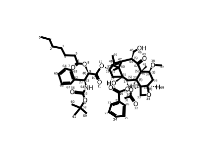 CCCCCCC(=O)O[C@@H](C(=O)O[C@H]1C[C@@]2(O)[C@@H](OC(=O)c3ccccc3)[C@@H]3[C@]4(OC(C)=O)CO[C@@H]4C[C@H](OC)[C@@]3(C)C(=O)[C@H](CO)C(=C1C)C2(C)C)[C@@H](NC(=O)OC(C)(C)C)c1ccccc1